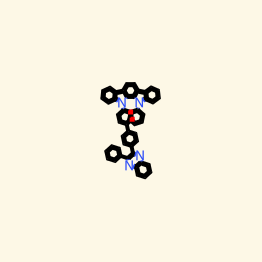 c1ccc(-c2nc3ccccc3nc2-c2ccc(-c3ccc(-n4c5ccccc5c5ccc6c7ccccc7n(-c7ccccc7)c6c54)cc3)cc2)cc1